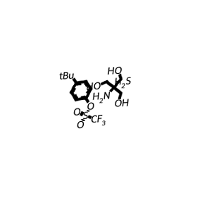 CC(C)(C)c1ccc(OS(=O)(=O)C(F)(F)F)cc1.NC(CO)(CO)CO.S